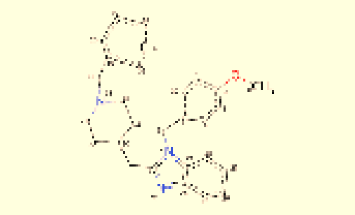 COc1ccc(Cn2c(CC3CCN(Cc4ccccc4)CC3)nc3ccccc32)cc1